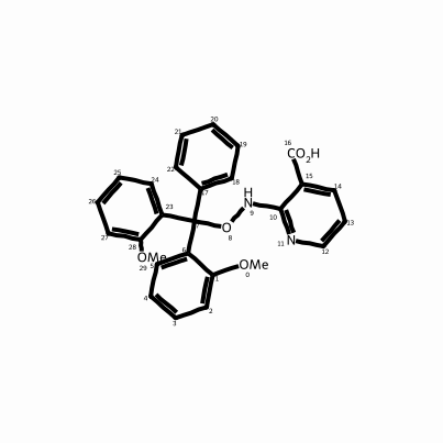 COc1ccccc1C(ONc1ncccc1C(=O)O)(c1ccccc1)c1ccccc1OC